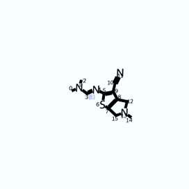 CN(C)/C=N/c1sc2c(c1C#N)CN(C)C2